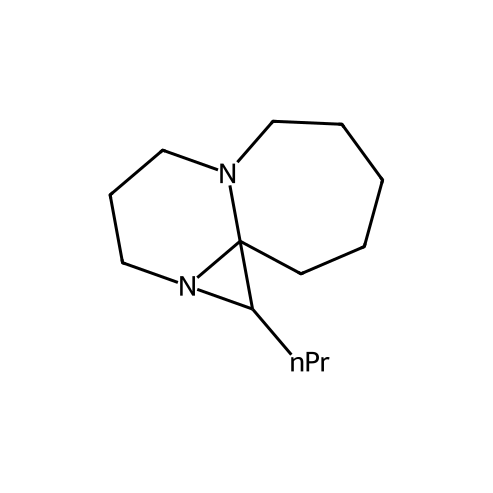 CCCC1N2CCCN3CCCCCC132